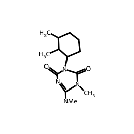 CNc1nc(=O)n(C2CCCC(C)C2C)c(=O)n1C